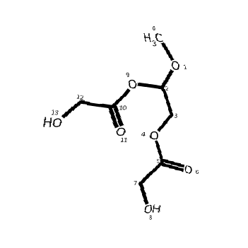 COC(COC(=O)CO)OC(=O)CO